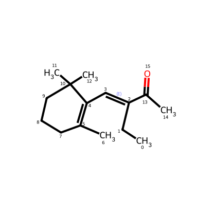 CC/C(=C\C1=C(C)CCCC1(C)C)C(C)=O